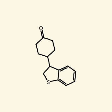 O=C1CCC(C2CSc3ccccc32)CC1